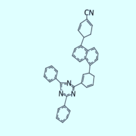 N#CC1=CCC(c2cccc3c(C4C=C(c5nc(-c6ccccc6)nc(-c6ccccc6)n5)C=CC4)cccc23)C=C1